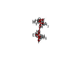 CC[C@H](N)C(=O)N[C@@H](Cc1ccc(OCC#CC#CCOc2ccc(C[C@H](NC(=O)[C@@H](N)CC)C(=O)N3CC(C)(C)c4[nH]c(=O)c(Cc5ccc(F)cc5)cc43)cc2)cc1)C(=O)N1CC(C)(C)c2[nH]c(=O)c(Cc3ccc(F)cc3)cc21